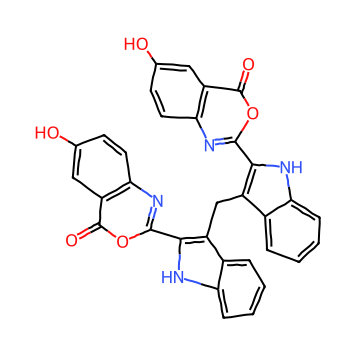 O=c1oc(-c2[nH]c3ccccc3c2Cc2c(-c3nc4ccc(O)cc4c(=O)o3)[nH]c3ccccc23)nc2ccc(O)cc12